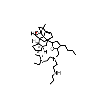 CCCCC1CC(C23C[C@@H]4[C@H](C)CC[C@H]4C4(C=O)CC2C=C(C(C)C)C34C(=O)O)OC1CN(CCNCCC)CCN(CC)CC